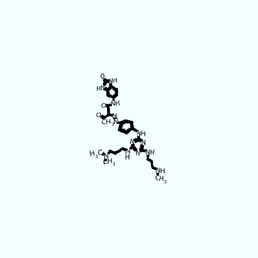 CNCCCNc1nc(NCCCN(C)C)nc(Nc2ccc(N=NC(C(C)=O)C(=O)Nc3ccc4[nH]c(=O)[nH]c4c3)cc2)n1